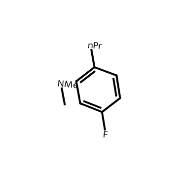 CCCc1ccc(F)cc1.CNC